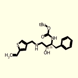 C=Cc1cc(CNC[C@@H](O)[C@H](Cc2ccccc2)NC(=O)OC(C)(C)C)cs1